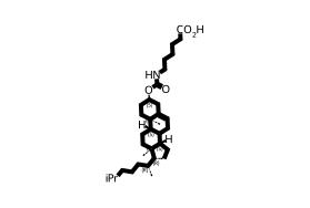 CC(C)CCC[C@@H](C)[C@H]1CC[C@H]2C3CC=C4C[C@@H](OC(=O)NCCCCCC(=O)O)CC[C@]4(C)[C@H]3CC[C@]12C